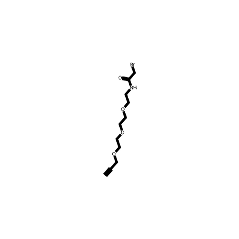 C#CCOCCOCCOCCNC(=O)CBr